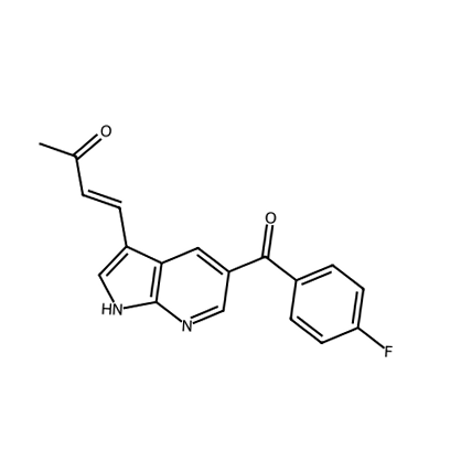 CC(=O)/C=C/c1c[nH]c2ncc(C(=O)c3ccc(F)cc3)cc12